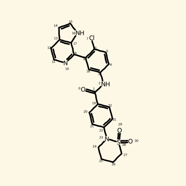 O=C(Nc1ccc(Cl)c(-c2nccc3cc[nH]c23)c1)c1ccc(N2CCCCS2(=O)=O)cc1